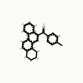 Cc1ccc(C(=O)c2cc3c4c(ccc3c3ccccc23)CCCC4)cc1